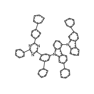 c1ccc(-c2ccc(-c3nc(-c4ccccc4)nc(-c4cc(-c5ccccc5)cc(-n5c6cc(-c7ccccc7)ccc6c6c(-n7c8ccccc8c8ccc(-c9ccccc9)cc87)cccc65)c4)n3)cc2)cc1